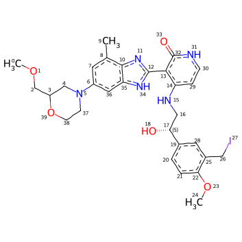 COCC1CN(c2cc(C)c3nc(-c4c(NC[C@@H](O)c5ccc(OC)c(CI)c5)cc[nH]c4=O)[nH]c3c2)CCO1